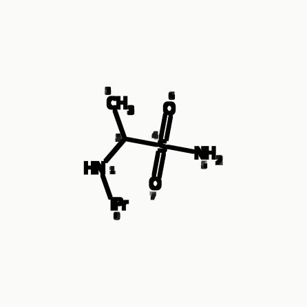 CC(C)NC(C)S(N)(=O)=O